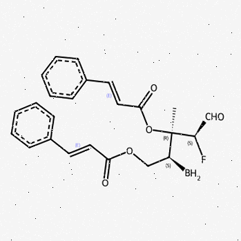 B[C@@H](COC(=O)/C=C/c1ccccc1)[C@@](C)(OC(=O)/C=C/c1ccccc1)[C@H](F)C=O